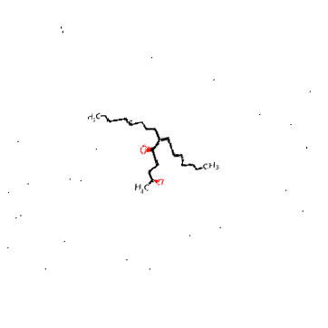 CCCCCCCCC(CCCCCCC)C(=O)CCC(C)=O